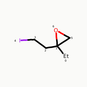 CCC1(CCI)CO1